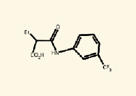 CCC(C(=O)O)C(=O)Nc1cccc(C(F)(F)F)c1